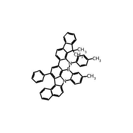 Cc1ccc(N2B3c4cc(C)ccc4-n4c5ccc6ccccc6c5c5c(-c6ccccc6)cc(c3c54)-c3ccc4c(c32)C(C)(C)c2ccccc2-4)cc1